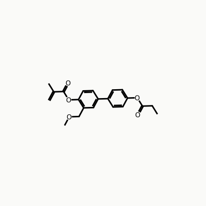 C=C(C)C(=O)Oc1ccc(-c2ccc(OC(=O)CC)cc2)cc1COC